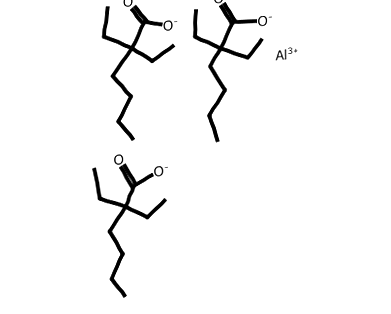 CCCCC(CC)(CC)C(=O)[O-].CCCCC(CC)(CC)C(=O)[O-].CCCCC(CC)(CC)C(=O)[O-].[Al+3]